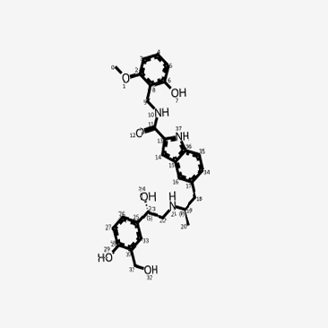 COc1cccc(O)c1CNC(=O)c1cc2cc(C[C@@H](C)NC[C@@H](O)c3ccc(O)c(CO)c3)ccc2[nH]1